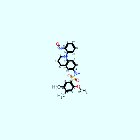 COc1cc(C)c(C)cc1S(=O)(=O)Nc1ccc2c(c1)CCCN2c1ccccc1N=O